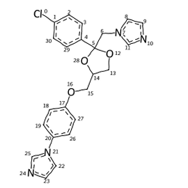 Clc1ccc(C2(Cn3ccnc3)OCC(COc3ccc(-n4ccnc4)cc3)O2)cc1